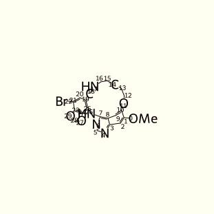 COc1cc2ncnc3c2cc1OCCCCCNCc1cc(Br)c2c(c1N3)OCO2